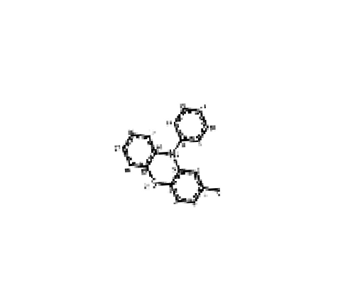 Cc1ccc2c(c1)N(c1ccccc1)c1ccccc1S2